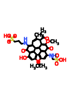 COc1c2c3c4c(c(NCCCS(=O)(=O)O)c(=O)c5c(O)cc(OC)c(c6c(OC)cc(NCS(=O)(=O)O)c(c1=O)c63)c54)C=C(C)C2C(C)=O